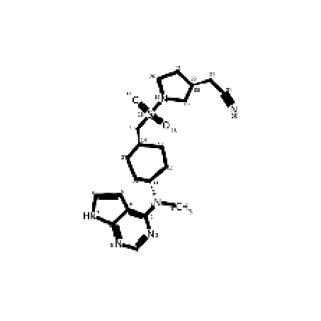 CN(c1ncnc2[nH]ccc12)[C@H]1CC[C@H](CS(=O)(=O)N2CC[C@@H](CC#N)C2)CC1